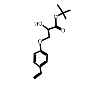 C=Cc1ccc(OCC(O)C(=O)OC(C)(C)C)cc1